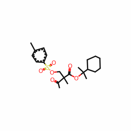 CC(=O)C(C)(COS(=O)(=O)c1ccc(C)cc1)C(=O)OC(C)(C)C1CCCCC1